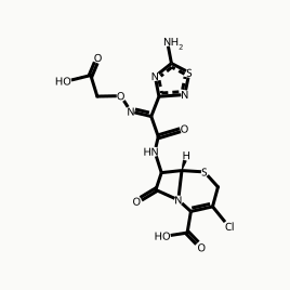 Nc1nc(C(=NOCC(=O)O)C(=O)NC2C(=O)N3C(C(=O)O)=C(Cl)CS[C@@H]23)ns1